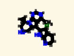 Cc1ncnc2c1c(-c1[nH]c3ncccc3c1Cl)c1n2C2(CC2)CNC1